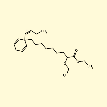 CC/C=C\C1(CCCCCCCC(OCC)C(=O)OCC)C=CCC=C1